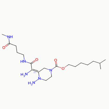 CNC(=O)CCCNC(=O)/C(N)=C1\CN(C(=O)OCCCCCC(C)C)CCN1N